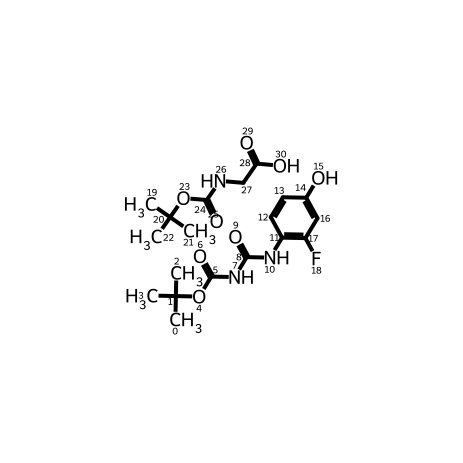 CC(C)(C)OC(=O)NC(=O)Nc1ccc(O)cc1F.CC(C)(C)OC(=O)NCC(=O)O